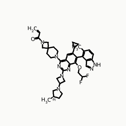 C=CC(=O)N1CC2(CCN(c3nc(N4CC(N5CC[C@@H](C)C5)C4)nc4c(OCC(F)F)c(-c5c(C)ccc6[nH]ncc56)c(C5CC5)cc34)CC2)C1